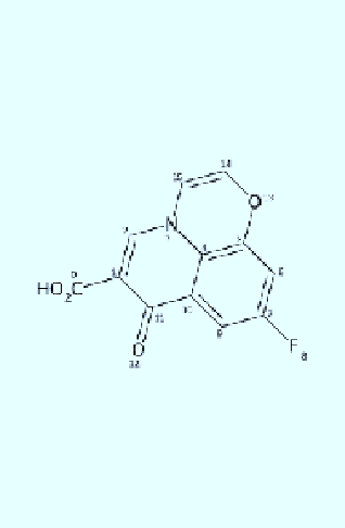 O=C(O)c1cn2c3c(cc(F)cc3c1=O)OC=C2